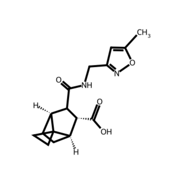 Cc1cc(CNC(=O)C2[C@H](C(=O)O)[C@H]3CC[C@@H]2C32CC2)no1